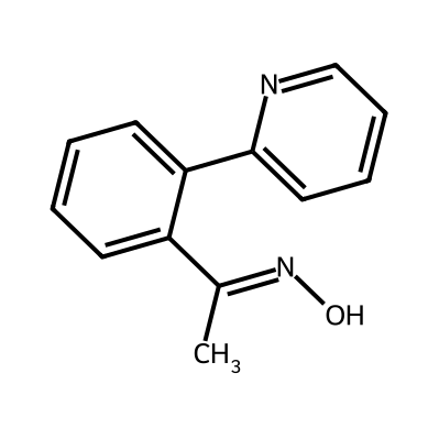 CC(=NO)c1ccccc1-c1ccccn1